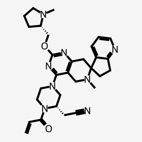 C=CC(=O)N1CCN(c2nc(OC[C@@H]3CCCN3C)nc3c2CN(C)C2(CCc4ncccc42)C3)C[C@@H]1CC#N